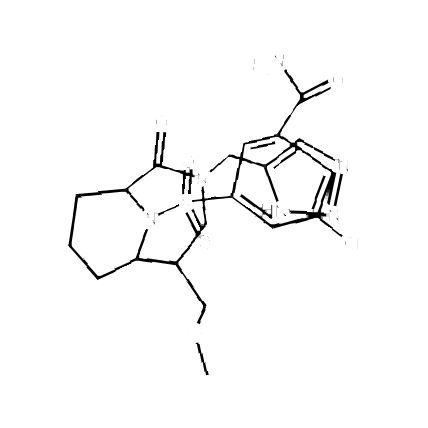 COCC1CN(Cc2cnn[nH]2)C(=O)C2CCCC1N2S(=O)(=O)c1cc(Cl)cc(C(N)=O)c1